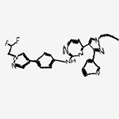 CCn1cc(-c2ccnc(Nc3ccc(-c4cnn(CC(F)F)c4)cc3)n2)c(-c2cccnc2)n1